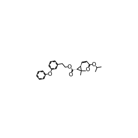 CC(C)OC(=O)/C=C\[C@@H]1[C@@H](C(=O)OCCc2cccc(Oc3ccccc3)c2)C1(C)C